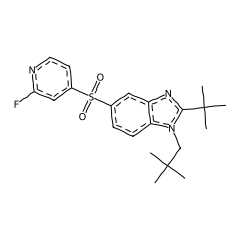 CC(C)(C)Cn1c(C(C)(C)C)nc2cc(S(=O)(=O)c3ccnc(F)c3)ccc21